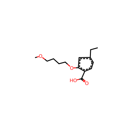 CCc1ccc(C(=O)O)c(OCCCCOC)c1